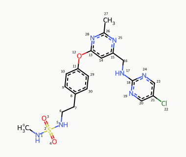 CNS(=O)(=O)NCCc1ccc(Oc2cc(CNc3ncc(Cl)cn3)nc(C)n2)cc1